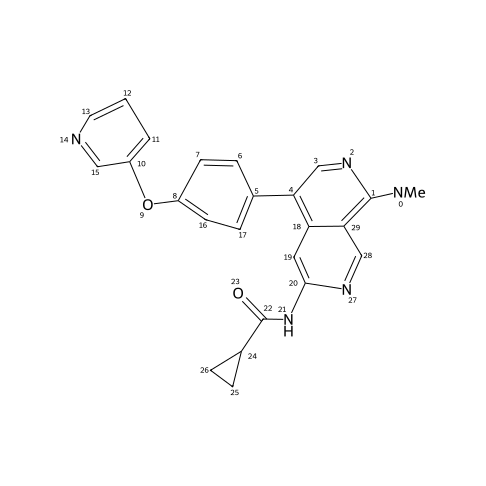 CNc1ncc(-c2ccc(Oc3cccnc3)cc2)c2cc(NC(=O)C3CC3)ncc12